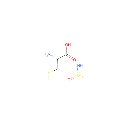 CSC[C@H](N)C(=O)O.N=[SH2]=O